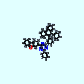 c1ccc(-c2nc(-c3cccc(-c4c(-c5ccccc5)c5ccccc5c5ccccc45)c3)nc(-c3ccc4c(c3)oc3ccccc34)n2)cc1